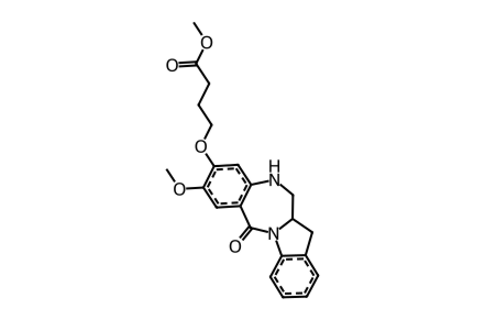 COC(=O)CCCOc1cc2c(cc1OC)C(=O)N1c3ccccc3CC1CN2